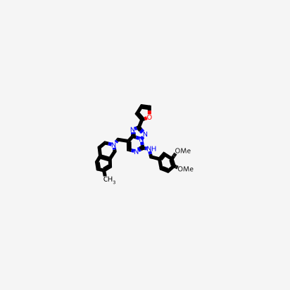 COc1ccc(CNc2ncc(CN3CCc4ccc(C)cc4C3)c3nc(-c4ccco4)nn23)cc1OC